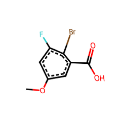 COc1cc(F)c(Br)c(C(=O)O)c1